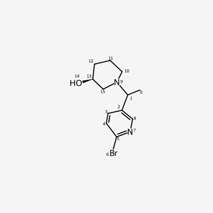 CC(c1ccc(Br)nc1)N1CCC[C@H](O)C1